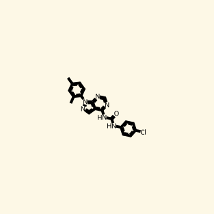 Cc1ccc(-n2ncc3c(NC(=O)Nc4ccc(Cl)cc4)ncnc32)c(C)c1